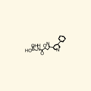 O=C(NCB(O)O)C1CC(c2cncc(-c3ccccc3)c2)=NO1